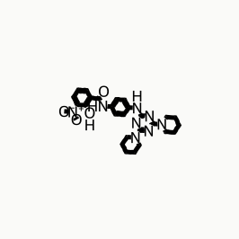 O=C(Nc1ccc(Nc2nc(N3CCCCC3)nc(N3CCCCC3)n2)cc1)c1cccc([N+](=O)[O-])c1O